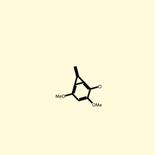 C=C1c2c(OC)cc(OC)c(Cl)c21